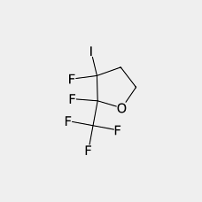 FC(F)(F)C1(F)OCCC1(F)I